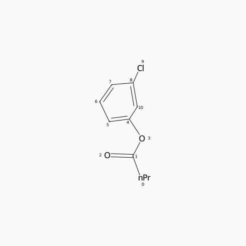 CCCC(=O)Oc1cccc(Cl)c1